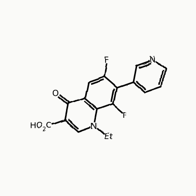 CCn1cc(C(=O)O)c(=O)c2cc(F)c(-c3cccnc3)c(F)c21